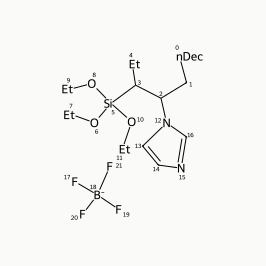 CCCCCCCCCCCC(C(CC)[Si](OCC)(OCC)OCC)n1ccnc1.F[B-](F)(F)F